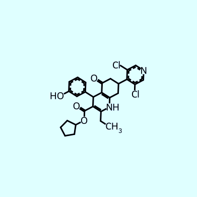 CCC1=C(C(=O)OC2CCCC2)C(c2cccc(O)c2)C2=C(CC(c3c(Cl)cncc3Cl)CC2=O)N1